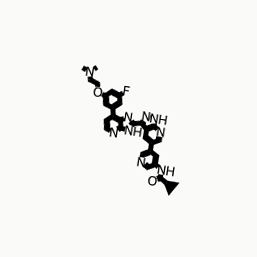 CN(C)CCOc1cc(F)cc(-c2ccnc3[nH]c(-c4n[nH]c5ncc(-c6cncc(NC(=O)C7CC7)c6)cc45)nc23)c1